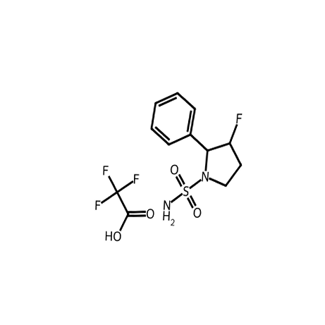 NS(=O)(=O)N1CCC(F)C1c1ccccc1.O=C(O)C(F)(F)F